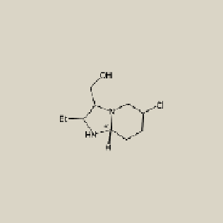 CCC1N[C@H]2CCC(Cl)CN2C1CO